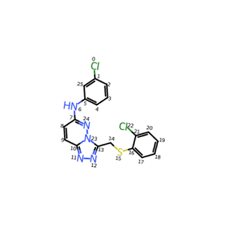 Clc1cccc(Nc2ccc3nnc(CSc4ccccc4Cl)n3n2)c1